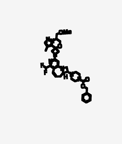 COCC1COC2(CN(c3cc4c(c(C(F)F)n3)C=CC[C@H]3[C@H](N5CCN(C(=O)OCc6ccccc6)CC5)CN43)C2)c2c(C)cnn21